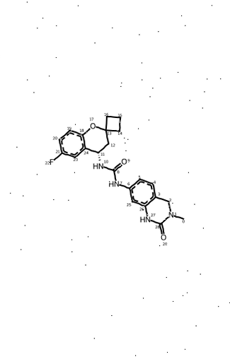 CN1Cc2ccc(NC(=O)N[C@H]3CC4(CCC4)Oc4ccc(F)cc43)cc2NC1=O